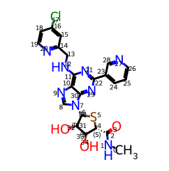 CNC(=O)[C@H]1S[C@@H](n2cnc3c(NCc4cc(Cl)ccn4)nc(-c4cccnc4)nc32)[C@H](O)[C@@H]1O